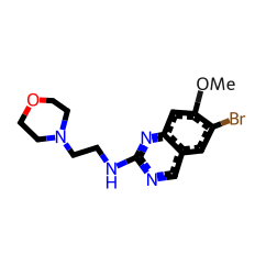 COc1cc2nc(NCCN3CCOCC3)ncc2cc1Br